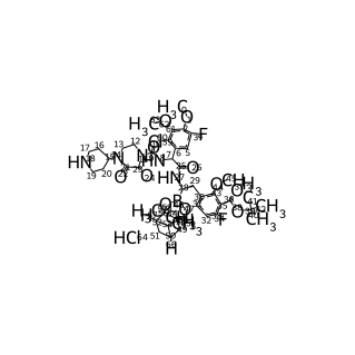 COc1c(F)cc(C(NC(=O)N2CCN(C3CCNCC3)C(=O)C2=O)C(=O)N[C@@H](Cc2ccc(F)c(C(=O)OC(C)(C)C)c2OC)B2O[C@@H]3C[C@@H]4C[C@@H](C4(C)C)[C@]3(C)O2)c(Cl)c1OC.Cl